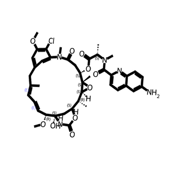 COc1cc2cc(c1Cl)N(C)C(=O)C[C@H](OC(=O)[C@H](C)N(C)C(=O)c1ccc3cc(N)ccc3n1)[C@]1(C)O[C@H]1[C@H](C)[C@@H]1C[C@@](O)(NC(=O)O1)[C@H](OC)/C=C/C=C(\C)C2